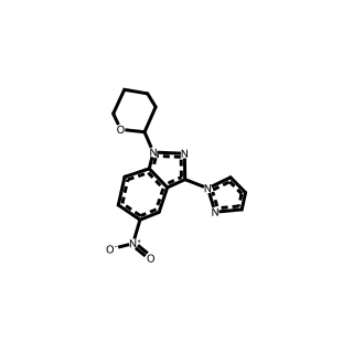 O=[N+]([O-])c1ccc2c(c1)c(-n1cccn1)nn2C1CCCCO1